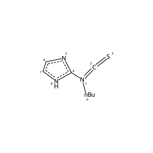 [CH2]CCC[N+](=C=S)c1ncc[nH]1